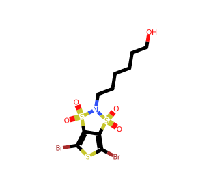 O=S1(=O)c2c(Br)sc(Br)c2S(=O)(=O)N1CCCCCCO